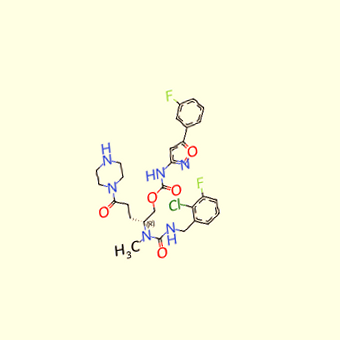 CN(C(=O)NCc1cccc(F)c1Cl)[C@H](CCC(=O)N1CCNCC1)COC(=O)Nc1cc(-c2cccc(F)c2)on1